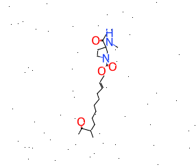 CN[C@@]1(C(C)=O)CCN(C(=O)OC/C=C/CCCCCCC(C)C(C)=O)C1